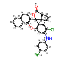 O=C1OC2(c3cc(Cl)c(Nc4ccc(Br)cc4)cc3Oc3c2ccc2ccccc32)c2ccccc21